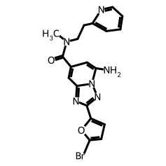 CN(CCc1ccccn1)C(=O)c1cc(N)n2nc(-c3ccc(Br)o3)nc2c1